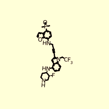 CP(C)(=O)c1ccc(NCC#Cc2cc3c(N[C@@H]4CCNC[C@@H]4F)cccc3n2CC(F)(F)F)c2occc12